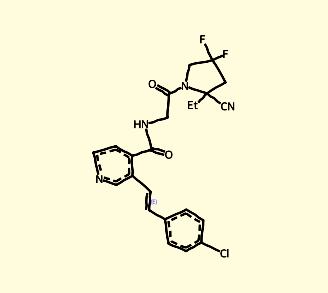 CCC1(C#N)CC(F)(F)CN1C(=O)CNC(=O)c1ccncc1/C=C/c1ccc(Cl)cc1